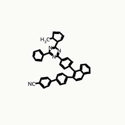 CC1C=CC=CC1c1nc(-c2ccccc2)nc(-c2ccc(-c3c(-c4ccc(-c5ccc(C#N)cc5)cc4)ccc4ccccc34)cc2)n1